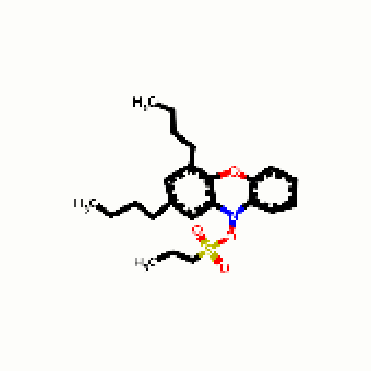 CCCCc1cc(CCCC)c2c(c1)N(OS(=O)(=O)CCC)c1ccccc1O2